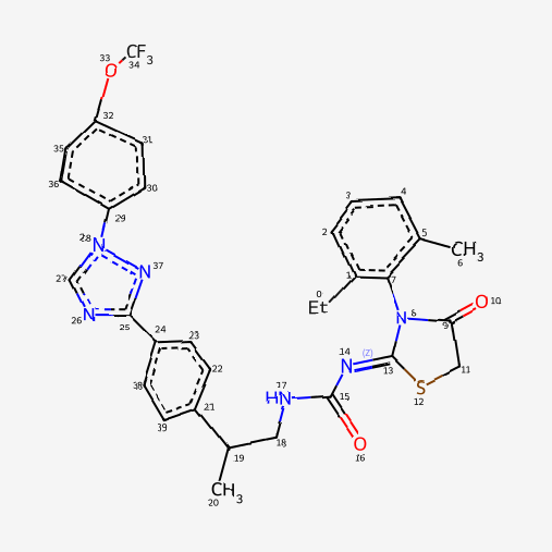 CCc1cccc(C)c1N1C(=O)CS/C1=N\C(=O)NCC(C)c1ccc(-c2ncn(-c3ccc(OC(F)(F)F)cc3)n2)cc1